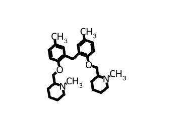 Cc1ccc(OCC2CCCCN2C)c(Cc2cc(C)ccc2OCC2CCCCN2C)c1